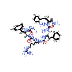 N=C(N)NCCCC(CNC(=O)N[C@H](CNC(=O)NC(CN)Cc1ccccc1)Cc1ccccc1)NC(=O)NC[C@H](Cc1ccccc1)NC(N)=O